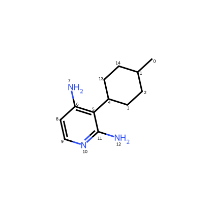 CC1CCC(c2c(N)ccnc2N)CC1